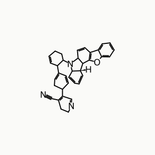 N#CC1=C(C2C=CC(C3C=CCCC3N3C4C=Cc5c(oc6ccccc56)C4[C@@H]4C=CC=CC43)=CC2)C=NCC1